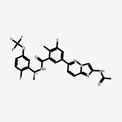 CC(=O)Nc1cn2nc(-c3cc(F)c(C)c(C(=O)N[C@@H](C)c4cc(OC(F)(F)F)ccc4F)c3)ccc2n1